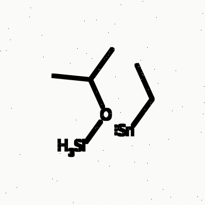 CC(C)O[SiH3].C[CH2][Sn]